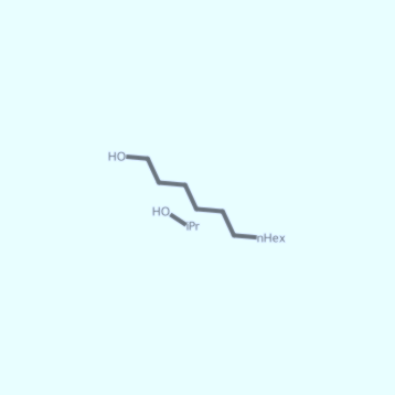 CC(C)O.CCCCCCCCCCCCO